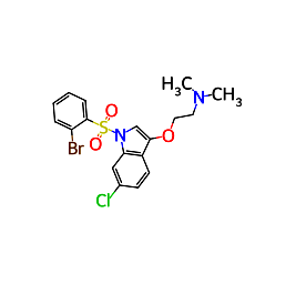 CN(C)CCOc1cn(S(=O)(=O)c2ccccc2Br)c2cc(Cl)ccc12